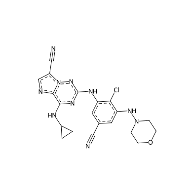 N#Cc1cc(Nc2nc(NC3CC3)c3ncc(C#N)n3n2)c(Cl)c(NN2CCOCC2)c1